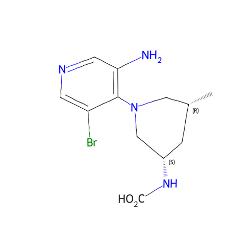 C[C@@H]1C[C@H](NC(=O)O)CN(c2c(N)cncc2Br)C1